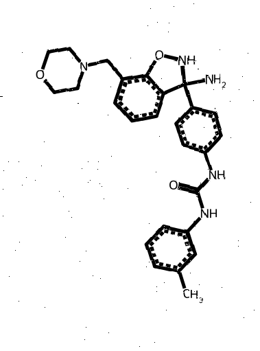 Cc1cccc(NC(=O)Nc2ccc(C3(N)NOc4c(CN5CCOCC5)cccc43)cc2)c1